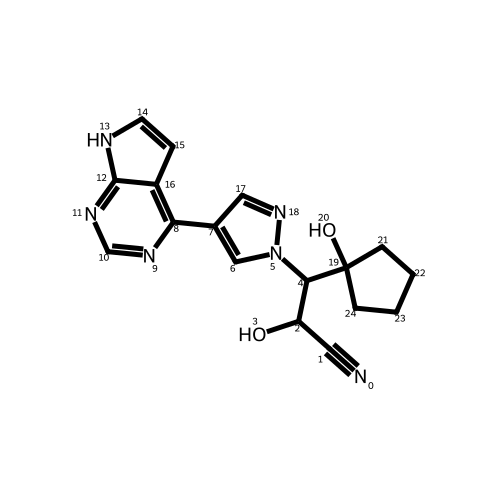 N#CC(O)C(n1cc(-c2ncnc3[nH]ccc23)cn1)C1(O)CCCC1